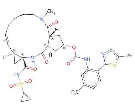 CCc1cnc(-c2ccc(C(F)(F)F)cc2NC(=O)O[C@@H]2C[C@H]3C(=O)N[C@]4(C(=O)NS(=O)(=O)C5CC5)C[C@H]4/C=C\CCCCN(C)C(=O)[C@@H]3C2)s1